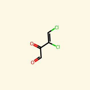 O=CC(=O)C(Cl)=CCl